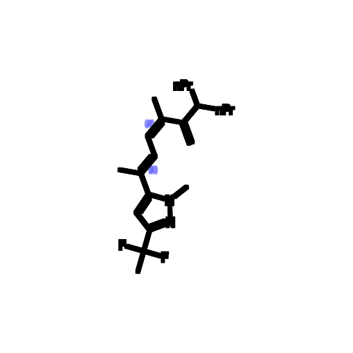 C=C(/C(C)=C\C=C(/C)c1cc(C(C)(F)F)nn1C)C(CCC)CCC